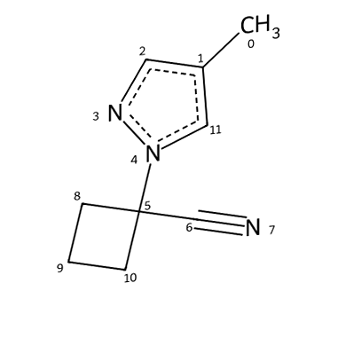 Cc1cnn(C2(C#N)CCC2)c1